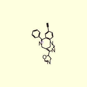 C#Cc1ccc2c(c1)/C(c1ccccc1)=N\CC1=C(C3CN=CO3)N=CN2C1